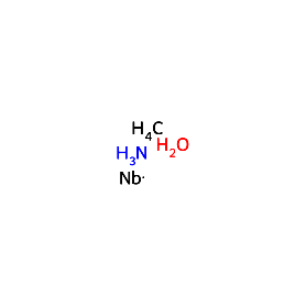 C.N.O.[Nb]